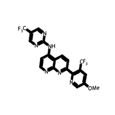 COc1cnc(-c2ccc3c(Nc4ncc(C(F)(F)F)cn4)ccnc3n2)c(C(F)(F)F)c1